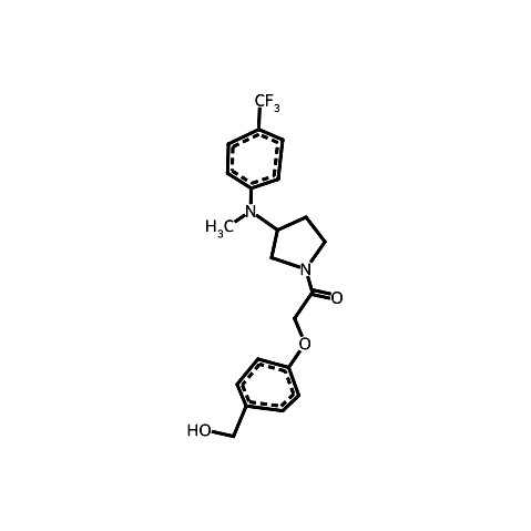 CN(c1ccc(C(F)(F)F)cc1)C1CCN(C(=O)COc2ccc(CO)cc2)C1